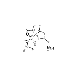 CCCC(C(C)C)(C(C)C)S(=O)(=O)OC(C)C.[NaH]